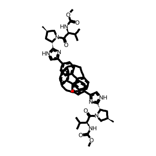 COC(=O)N[C@H](C(=O)N1C[C@H](C)C[C@H]1c1nc(-c2ccc(-c3cc4ccc3CCc3ccc(c(-c5ccc(-c6c[nH]c([C@@H]7C[C@@H](C)CN7C(=O)[C@@H](NC(=O)OC)C(C)C)n6)cc5)c3)CC4)cc2)c[nH]1)C(C)C